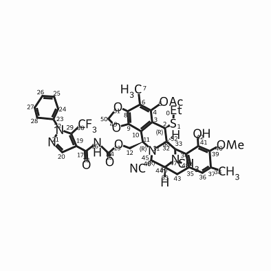 CCS[C@@H]1c2c(OC(C)=O)c(C)c3c(c2[C@H](COC(=O)NC(=O)c2cnn(-c4ccccc4)c2C(F)(F)F)N2[C@@H]1C1c4c(cc(C)c(OC)c4O)C[C@H]([C@@H]2C#N)N1C)OCO3